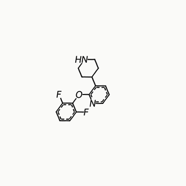 Fc1cccc(F)c1Oc1ncccc1C1CCNCC1